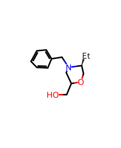 CC[C@H]1COC(CO)CN1Cc1ccccc1